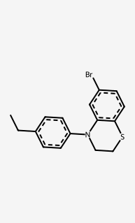 CCc1ccc(N2CCSc3ccc(Br)cc32)cc1